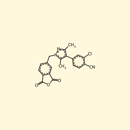 Cc1nn(Cc2ccc3c(c2)C(=O)OC3=O)c(C)c1-c1ccc(C#N)c(Cl)c1